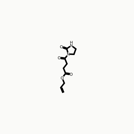 C=CCOC(=O)CCC(=O)N1CCNC1=O